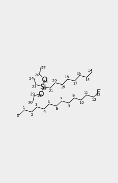 CCCCCCCCCCCCCF.CCCCCCCC[Si](CC)(OCC)OCC